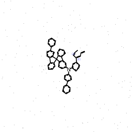 C=C/C=C(\C=C/C)c1cccc(N(c2ccc(-c3ccccc3)cc2)c2ccc3c(c2)-c2ccccc2C32c3ccccc3-c3ccc(-c4ccccc4)cc32)c1